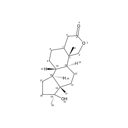 C[C@]12COC(=O)CC1CC[C@@H]1[C@@H]2CC[C@@]2(C)[C@H]1CC[C@]2(C)O